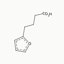 O=C(O)CCCc1ccco1